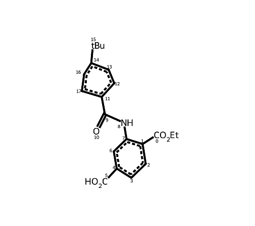 CCOC(=O)c1ccc(C(=O)O)cc1NC(=O)c1ccc(C(C)(C)C)cc1